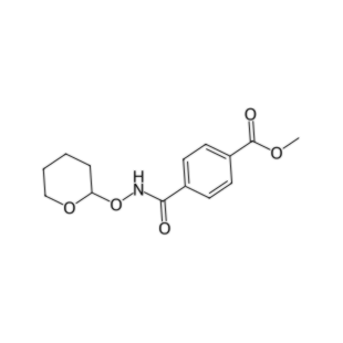 COC(=O)c1ccc(C(=O)NOC2CCCCO2)cc1